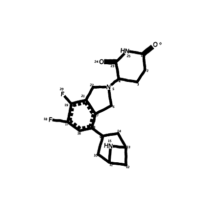 O=C1CCC(N2Cc3c(C4CC5CC(C4)N5)cc(F)c(F)c3C2)C(=O)N1